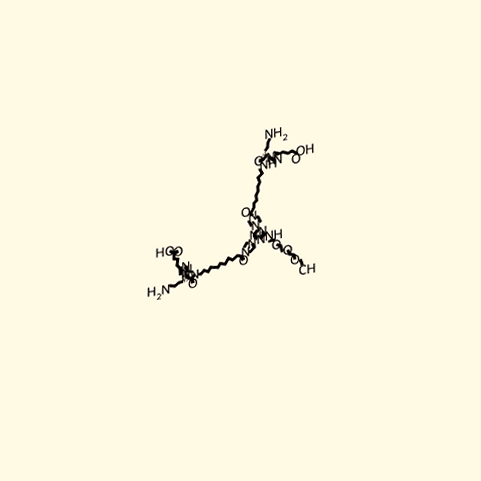 C#CCOCCOCCOCCNc1nc(N2CCN(C(=O)CCCCCCCCCCNC(=O)[C@H](CCCCN)n3cc(CCCC(=O)O)nn3)CC2)nc(N2CCN(C(=O)CCCCCCCCCCNC(=O)[C@H](CCCCN)n3cc(CCCC(=O)O)nn3)CC2)n1